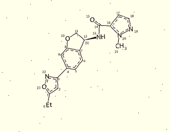 CCc1cc(-c2ccc3c(c2)OC[C@H]3NC(=O)c2ccnn2C)no1